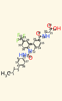 CCCCc1ccc(NC(=O)N(Cc2ccc(C(=O)NCCC(=O)O)cc2)c2ccc(C(F)(F)F)cc2)cc1